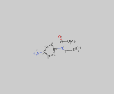 C#CCN(C(=O)OC)c1ccc(N)cc1